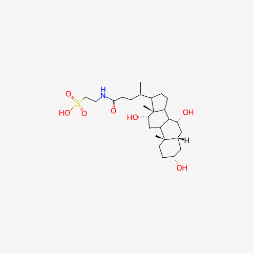 CC(CCC(=O)NCCS(=O)(=O)O)C1CCC2C3C(C[C@H](O)[C@]12C)[C@@]1(C)CC[C@@H](O)C[C@H]1C[C@H]3O